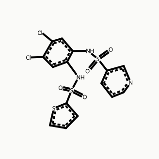 O=S(=O)(Nc1cc(Cl)c(Cl)cc1NS(=O)(=O)c1cccs1)c1cccnc1